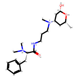 C[C@@H]1C[C@H](N(C)CCCNC(=O)[C@H](Cc2ccccc2)N(C)C)C[C@H](O)O1